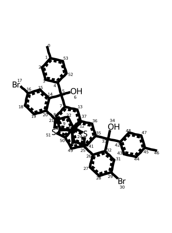 Cc1ccc(C(O)(c2ccc(C)cc2)c2cc(Br)ccc2-c2cc3sc(-c4ccc(Br)cc4C(O)(c4ccc(C)cc4)c4ccc(C)cc4)cc3s2)cc1